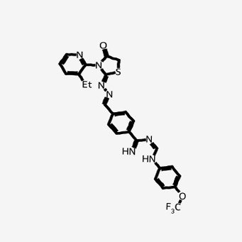 CCc1cccnc1N1C(=O)CS/C1=N\N=C\c1ccc(C(=N)/N=C\Nc2ccc(OC(F)(F)F)cc2)cc1